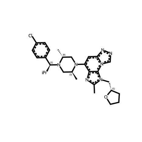 Cc1nc2c(N3C[C@@H](C)N([C@H](c4ccc(Cl)cc4)C(C)C)C[C@@H]3C)cc3nncn3c2n1C[C@@H]1CCCO1